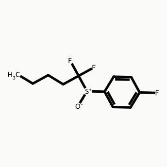 CCCCC(F)(F)[S+]([O-])c1ccc(F)cc1